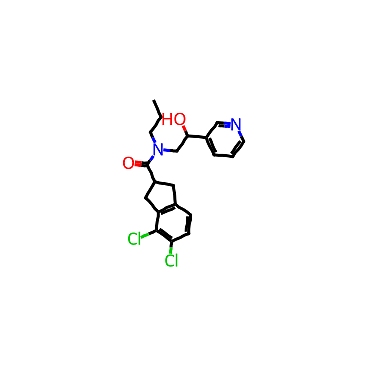 CCCN(CC(O)c1cccnc1)C(=O)C1Cc2ccc(Cl)c(Cl)c2C1